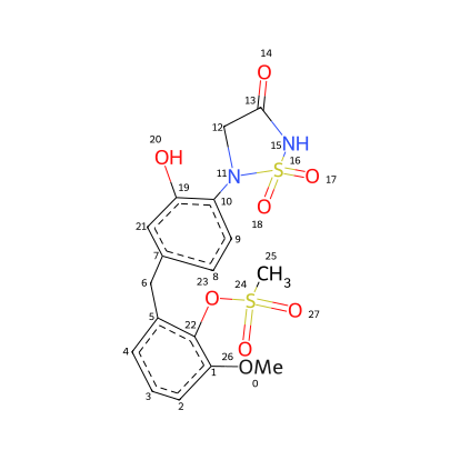 COc1cccc(Cc2ccc(N3CC(=O)NS3(=O)=O)c(O)c2)c1OS(C)(=O)=O